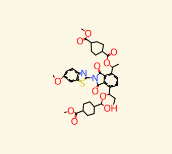 CCC(OC(O)C1CCC(C(=O)OC)CC1)c1ccc(C(C)OC(=O)C2CCC(C(=O)OC)CC2)c2c1C(=O)N(c1nc3ccc(OC)cc3s1)C2=O